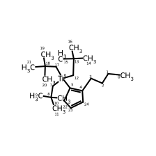 CCCCC1=[C]([Ti]([CH2]C(C)(C)C)([CH2]C(C)(C)C)[CH2]C(C)(C)C)CC=C1